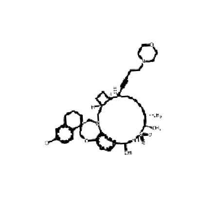 C[C@@H]1[C@@H](C)CCC[C@](O)(C#CCCN2CCOCC2)[C@@H]2CC[C@H]2CN2C[C@@]3(CCCc4cc(Cl)ccc43)COc3ccc(cc32)C(O)NS1(=O)=O